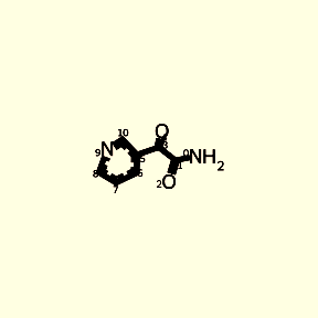 NC(=O)C(=O)c1cccnc1